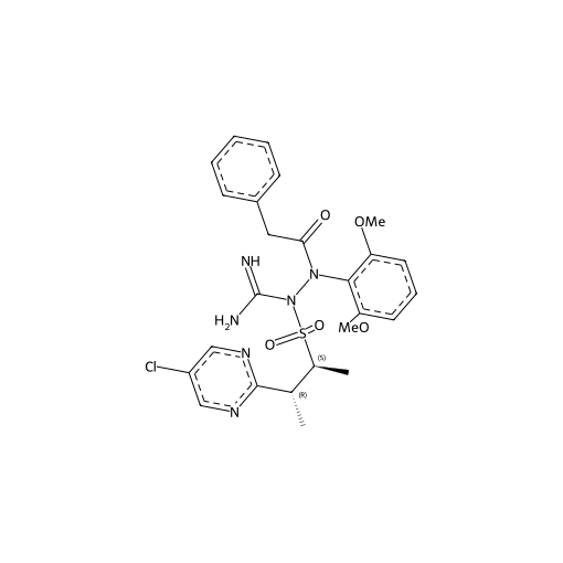 COc1cccc(OC)c1N(C(=O)Cc1ccccc1)N(C(=N)N)S(=O)(=O)[C@@H](C)[C@H](C)c1ncc(Cl)cn1